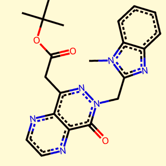 Cn1c(Cn2nc(CC(=O)OC(C)(C)C)c3nccnc3c2=O)nc2ccccc21